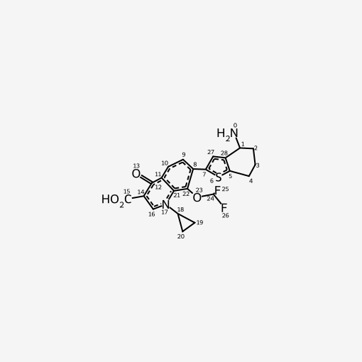 NC1CCCc2sc(-c3ccc4c(=O)c(C(=O)O)cn(C5CC5)c4c3OC(F)F)cc21